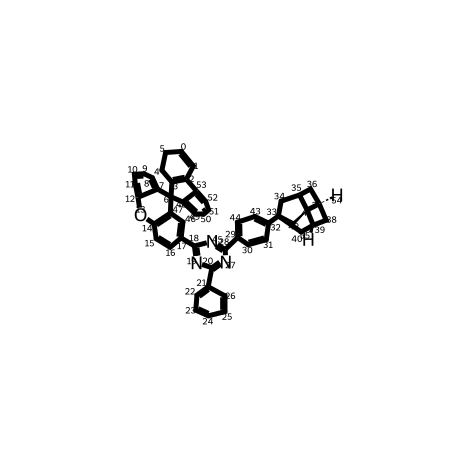 C1=CC2=C(CC1)C1(c3ccccc3Oc3ccc(-c4nc(-c5ccccc5)nc(-c5ccc(C67CC8C[C@H]9C[C@H](C6)[C@]89C7)cc5)n4)cc31)c1ccccc12